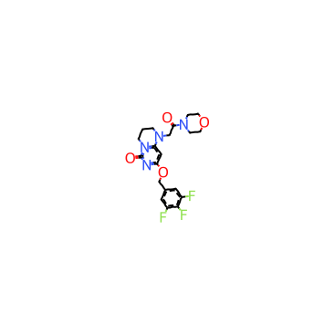 O=C(CN1CCCn2c1cc(OCc1cc(F)c(F)c(F)c1)nc2=O)N1CCOCC1